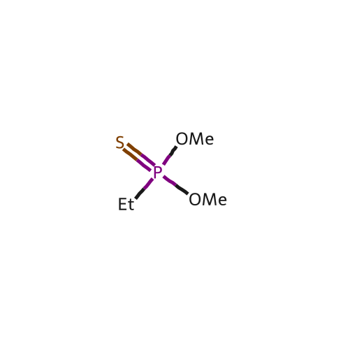 CCP(=S)(OC)OC